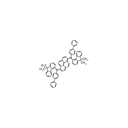 CC1(C)c2ccccc2-c2c(N(c3ccc(-c4ccccc4)cc3)c3ccc4ccc5c(N(c6ccc(-c7ccccc7)cc6)c6cccc7c6-c6ccccc6C7(C)C)ccc6ccc3c4c65)cccc21